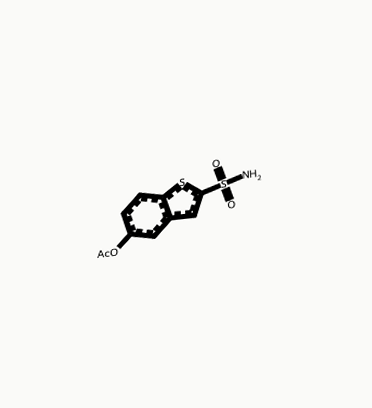 CC(=O)Oc1ccc2sc(S(N)(=O)=O)cc2c1